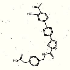 CC(=O)c1ccc(-c2ccc(-c3csc(C(=O)NCc4ccc(CC(=O)O)cc4)c3)cc2)cc1O